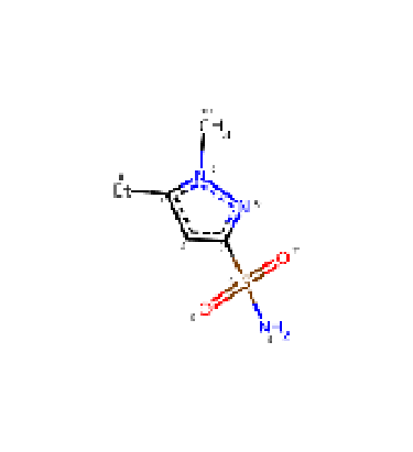 CCc1cc(S(N)(=O)=O)nn1C